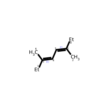 CC/C(C)=C/C=C(\C)CC